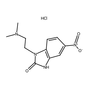 CN(C)CCn1c(=O)[nH]c2cc([N+](=O)[O-])ccc21.Cl